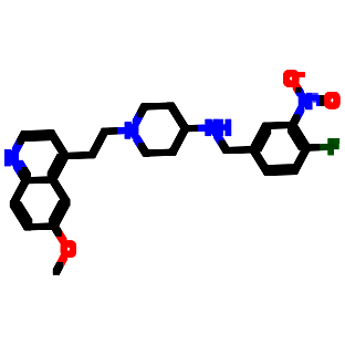 COc1ccc2nccc(CCN3CCC(NCc4ccc(F)c([N+](=O)[O-])c4)CC3)c2c1